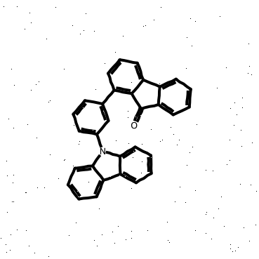 O=C1c2ccccc2-c2cccc(-c3cccc(-n4c5ccccc5c5ccccc54)c3)c21